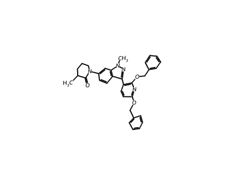 CC1CCCN(c2ccc3c(-c4ccc(OCc5ccccc5)nc4OCc4ccccc4)nn(C)c3c2)C1=O